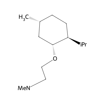 CNCCO[C@@H]1C[C@H](C)CC[C@H]1C(C)C